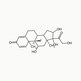 CC12CC(O)[C@@]3(F)C(CCC4=CC(=O)C=CC43C)C1CC(O)C2(O)C(=O)CO